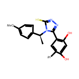 COc1ccc([C@H](C)n2c(S)nnc2-c2cc(C(C)C)c(O)cc2O)cc1